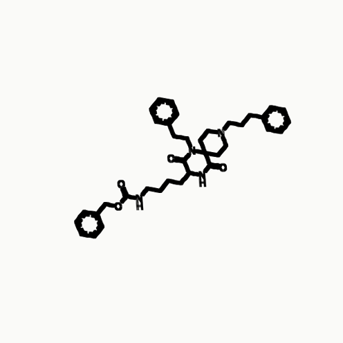 O=C(NCCCCC1NC(=O)C2(CCN(CCCc3ccccc3)CC2)N(CCc2ccccc2)C1=O)OCc1ccccc1